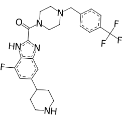 O=C(c1nc2cc(C3CCNCC3)cc(F)c2[nH]1)N1CCN(Cc2ccc(C(F)(F)F)cc2)CC1